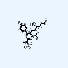 CC(C)c1nc(N(C)S(C)(=O)=O)nc(-c2ccc(F)cc2)c1/C=C/[C@@H](O)CCCO